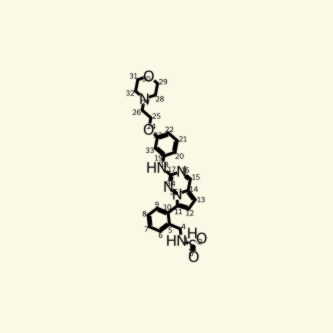 O=[SH](=O)NCc1ccccc1-c1ccc2cnc(Nc3cccc(OCCN4CCOCC4)c3)nn12